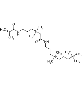 C=C(C)C(=O)NCCC[N+](C)(C)CC(=O)NCCC[N+](C)(C)CCC[N+](C)(C)C